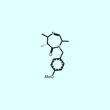 COc1ccc(CN2C(=O)[C@H](C)C(C)N=CC2C)cc1